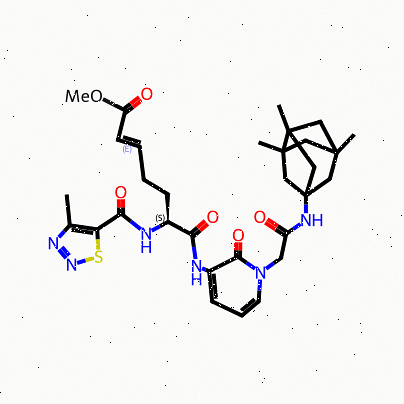 COC(=O)/C=C/CC[C@H](NC(=O)c1snnc1C)C(=O)Nc1cccn(CC(=O)NC23CC4(C)CC(C)(C2)C(C)(C4)C3)c1=O